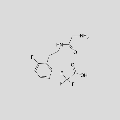 NCC(=O)NCCc1ccccc1F.O=C(O)C(F)(F)F